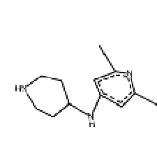 Cc1cc(NC2CCNCC2)cc(C)n1